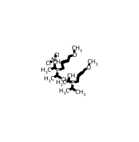 COCC=CCP(C(C)C)C(C)C.COCC=CCP(C(C)C)C(C)C.[Cl][Ni][Cl]